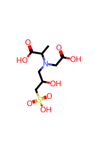 CC(C(=O)O)N(CC(=O)O)CC(O)CS(=O)(=O)O